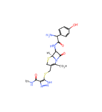 CCNC(=O)c1nn[nH]c1SCC1=C(C(=O)O)N2C(=O)C(NC(=O)C(N)c3ccc(O)cc3)[C@@H]2SC1